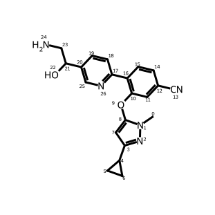 Cn1nc(C2CC2)cc1Oc1cc(C#N)ccc1-c1ccc(C(O)CN)cn1